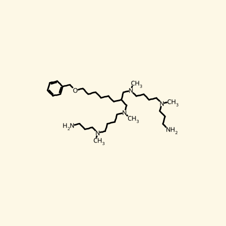 CN(CCCN)CCCCN(C)CC(CCCCCCOCc1ccccc1)CN(C)CCCCN(C)CCCN